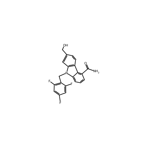 NC(=O)c1cccc2c1c1[c]cc(CO)cc1n2Cc1c(F)cc(F)cc1F